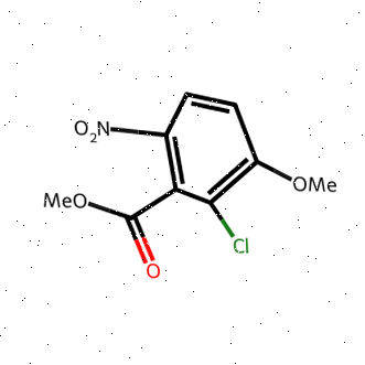 COC(=O)c1c([N+](=O)[O-])ccc(OC)c1Cl